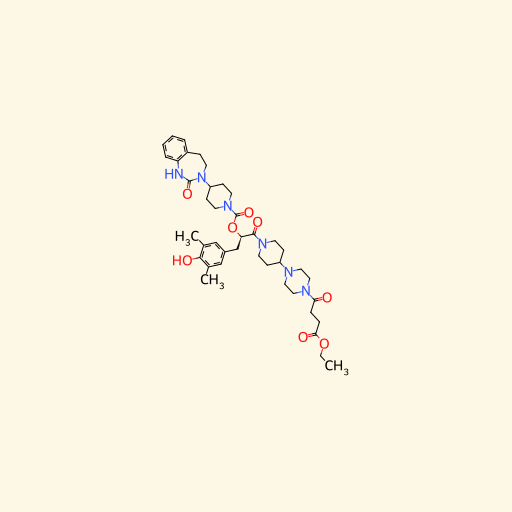 CCOC(=O)CCC(=O)N1CCN(C2CCN(C(=O)[C@@H](Cc3cc(C)c(O)c(C)c3)OC(=O)N3CCC(N4CCc5ccccc5NC4=O)CC3)CC2)CC1